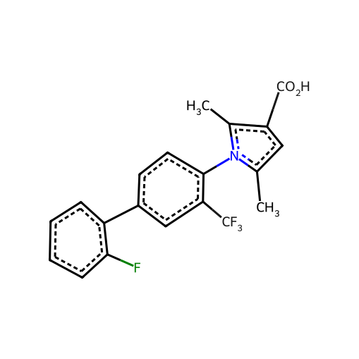 Cc1cc(C(=O)O)c(C)n1-c1ccc(-c2ccccc2F)cc1C(F)(F)F